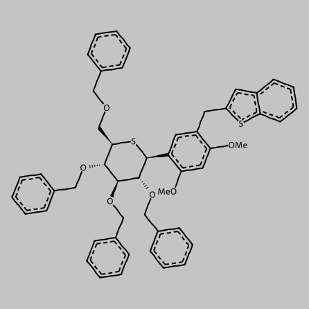 COc1cc(OC)c([C@@H]2S[C@H](COCc3ccccc3)[C@@H](OCc3ccccc3)[C@H](OCc3ccccc3)[C@H]2OCc2ccccc2)cc1Cc1cc2ccccc2s1